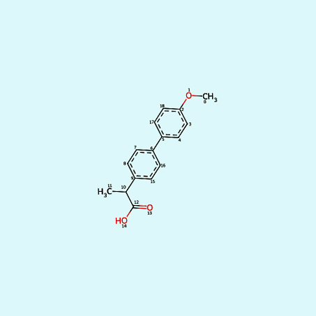 COc1ccc(-c2ccc(C(C)C(=O)O)cc2)cc1